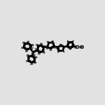 O=Cc1ccc(C2CC=C(C3=CC(c4ccc(N(c5ccccc5)c5ccccc5)cc4)CS3)S2)s1